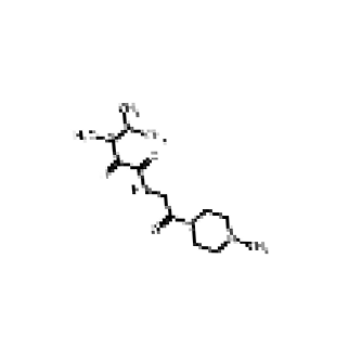 CC(C)[C@H](C)C(=O)C(=O)NCC(=O)N1CCN(C)CC1